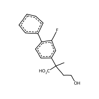 CC(CCO)(C(=O)O)c1ccc(-c2ccccc2)c(F)c1